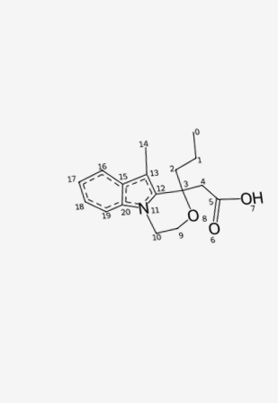 CCCC1(CC(=O)O)OCCn2c1c(C)c1ccccc12